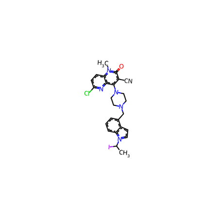 CC(I)n1ccc2c(CN3CCN(c4c(C#N)c(=O)n(C)c5ccc(Cl)nc45)CC3)cccc21